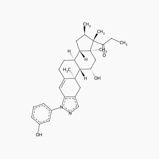 CCC(=O)[C@@]1(C)[C@H](C)C[C@H]2[C@@H]3CCC4=Cc5c(cnn5-c5cccc(O)c5)C[C@]4(C)[C@H]3[C@@H](O)C[C@@]21C